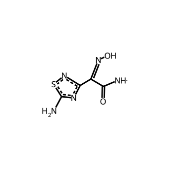 [NH]C(=O)/C(=N\O)c1nsc(N)n1